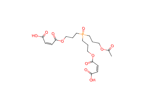 CC(=O)OCCCP(=O)(CCCOC(=O)/C=C\C(=O)O)CCCOC(=O)/C=C\C(=O)O